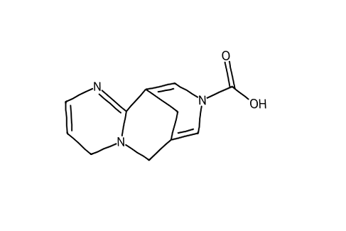 O=C(O)N1C=C2CC(=C1)C1=NC=CCN1C2